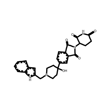 O=C1CCC(N2C(=O)c3ccc(C4(O)CCN(Cc5cc6ccccc6[nH]5)CC4)cc3C2=O)C(=O)N1